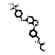 CC(C)CC(=O)NCc1cccc(-n2nnc3cnc(Nc4ccc(S(N)(=O)=O)cc4)nc32)c1